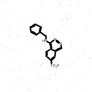 O=C(O)c1ccc2c(NCc3ccccc3)nncc2c1